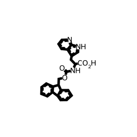 O=C(NC(Cc1c[nH]c2ncccc12)C(=O)O)OCC1c2ccccc2-c2ccccc21